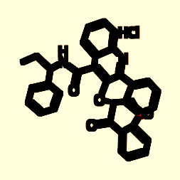 CCC(NC(=O)c1c(O[C@H]2CC(=O)c3ccccc3C2=O)c(-c2ccccc2)nc2ccccc12)c1ccccc1.Cl